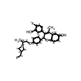 CC1=C(c2ccc(F)c(O)c2)C(c2ccc(OCC(C)N3CC(CF)C3)cc2)Oc2ccc(O)cc21